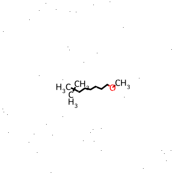 COCCCCCCC(C)(C)C